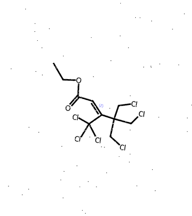 CCOC(=O)/C=C(\C(Cl)(Cl)Cl)C(CCl)(CCl)CCl